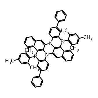 Cc1cc(C)c(B2c3cc(-c4ccccc4)ccc3N3c4cc5ccccc5c5c4N(c4ccc(-c6ccccc6)cc4B5c4c(C)cc(C)cc4C)c4cc5ccccc5c2c43)c(C)c1